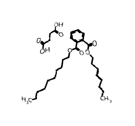 CCCCCCCCCCOC(=O)c1ccccc1C(=O)OCCCCCCCC.O=C(O)CCC(=O)O